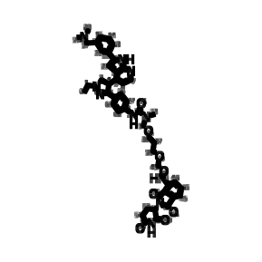 CCN1CC(c2ccnc3[nH]c(-c4cccc(CN(C)C)c4)cc23)C(c2ccc(NC(=O)N(C)COCCCOCONc3cccc4c3C(=O)N(C3CCC(=O)NC3=O)C4=O)cc2)=N1